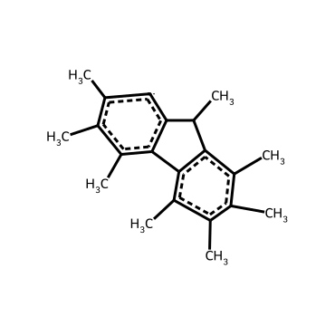 Cc1[c]c2c(c(C)c1C)-c1c(C)c(C)c(C)c(C)c1C2C